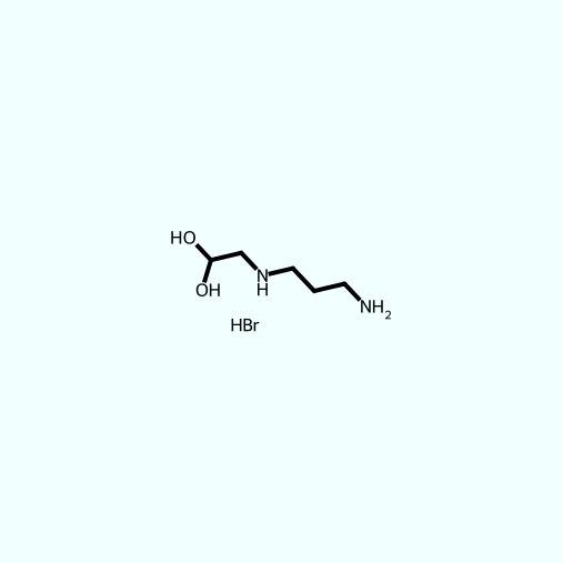 Br.NCCCNCC(O)O